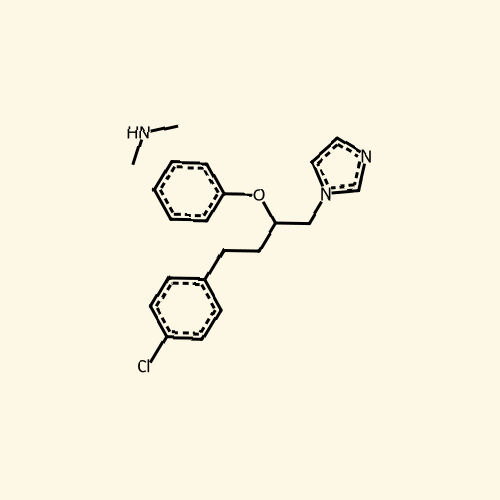 CNC.Clc1ccc(CCC(Cn2ccnc2)Oc2ccccc2)cc1